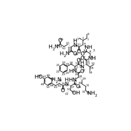 CC[C@H](C)[C@H](NC(=O)[C@H](C)NC(=O)[C@@H](NC(=O)[C@H](Cc1ccccc1)NC(=O)[C@H](CCCCN)NC(=O)[C@@H](NC(=O)[C@@H](N)Cc1ccc(O)cc1)[C@@H](C)O)C(C)C)C(=O)N[C@@H](CCC(N)=O)C(N)=O